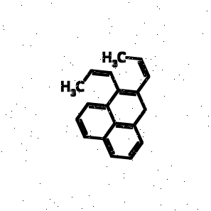 C/C=C\C1=C(/C=C\C)c2cccc3cccc(c23)C1